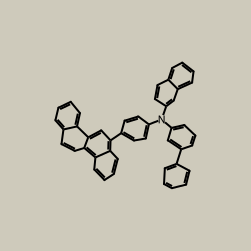 c1ccc(-c2cccc(N(c3ccc(-c4cc5c6ccccc6ccc5c5ccccc45)cc3)c3ccc4ccccc4c3)c2)cc1